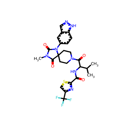 CC(C)C(NC(=O)c1nc(C(F)(F)F)cs1)C(=O)N1CCC2(CC1)C(=O)N(C)C(=O)N2c1ccc2[nH]ncc2c1